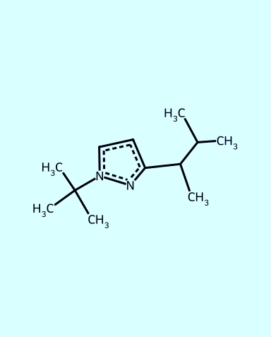 CC(C)C(C)c1ccn(C(C)(C)C)n1